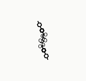 CC1CCC(c2ccc(C(=O)OC3COC4C(OC(=O)c5ccc(C6CCC(C)CC6)cc5)COC34)cc2)CC1